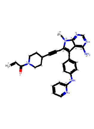 C=CC(=O)N1CCC(C#Cc2c(-c3ccc(Nc4ccccn4)cc3)c3c(N)ncnc3n2C(C)C)CC1